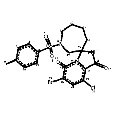 Cc1ccc(S(=O)(=O)N2CCCCC3(C2)NC(=O)c2c(Cl)cc(Br)c(=O)n23)cc1